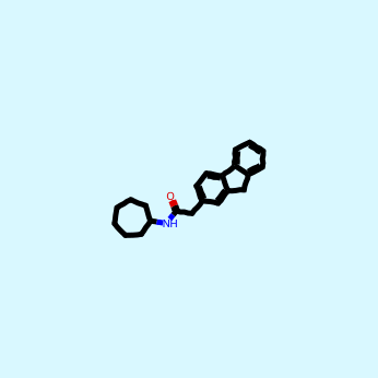 O=C(Cc1ccc2c(c1)Cc1ccccc1-2)NC1CCCCCC1